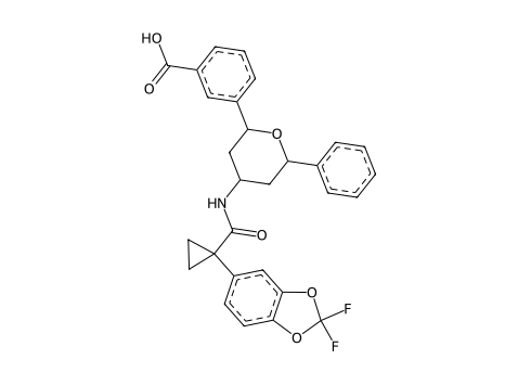 O=C(O)c1cccc(C2CC(NC(=O)C3(c4ccc5c(c4)OC(F)(F)O5)CC3)CC(c3ccccc3)O2)c1